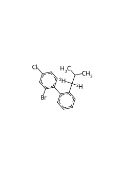 [2H]C([2H])(c1ccccc1-c1ccc(Cl)cc1Br)C(C)C